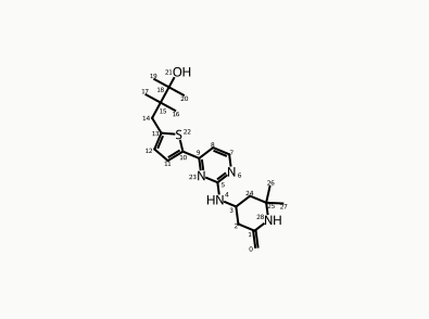 C=C1CC(Nc2nccc(-c3ccc(CC(C)(C)C(C)(C)O)s3)n2)CC(C)(C)N1